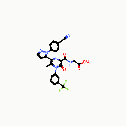 Cc1c(-c2ccnn2-c2ccc(C#N)cc2)nc(C(=O)NCC(=O)O)c(=O)n1-c1cccc(C(F)(F)F)c1